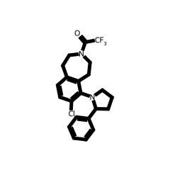 O=C(N1CCc2ccc(Cl)c(N3CCCC3c3ccccc3)c2CC1)C(F)(F)F